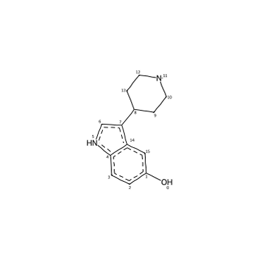 Oc1ccc2[nH]cc(C3CC[N]CC3)c2c1